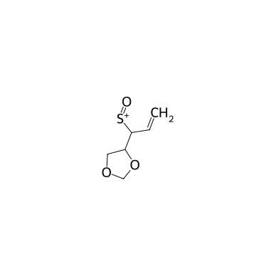 C=CC([S+]=O)C1COCO1